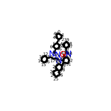 c1ccc(-c2ccc(-c3nc(-c4ccccc4)cc(-n4c5cc6ccccc6cc5c5ccc6nc(-c7ccccc7)oc6c54)n3)cc2)cc1